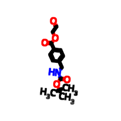 CC(C)(C)OC(=O)NCc1ccc(C(=O)OCC=O)cc1